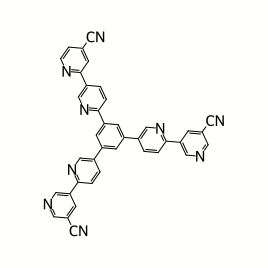 N#Cc1cncc(-c2ccc(-c3cc(-c4ccc(-c5cncc(C#N)c5)nc4)cc(-c4ccc(-c5cc(C#N)ccn5)cn4)c3)cn2)c1